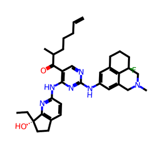 C=CCCCC(C)C(=O)c1cnc(Nc2cc3c4c(c2)CN(C)C[C@@]4(F)CCC3)nc1Nc1ccc2c(n1)[C@](O)(CC)CC2